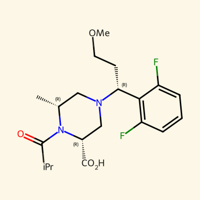 COCC[C@H](c1c(F)cccc1F)N1C[C@@H](C)N(C(=O)C(C)C)[C@@H](C(=O)O)C1